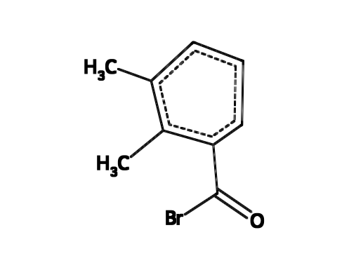 Cc1cccc(C(=O)Br)c1C